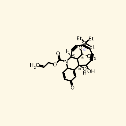 C=CCOC(=O)N1C2C=CC(=O)C=C2[C@@]2(O)C(O)C#C/C=C\C#C[C@H]1C2[C@@H](C)O[Si](CC)(CC)CC